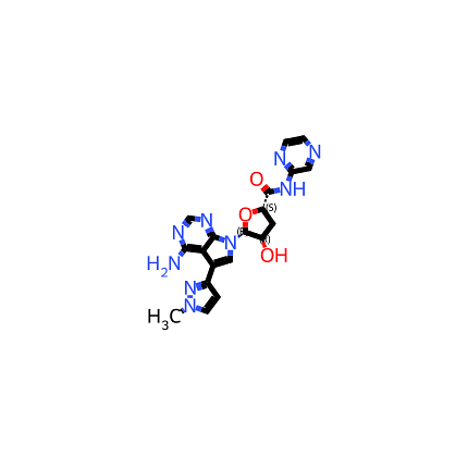 Cn1ccc(-c2cn([C@@H]3O[C@H](C(=O)Nc4cnccn4)C[C@H]3O)c3ncnc(N)c23)n1